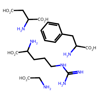 N=C(N)NCCCC(N)C(=O)O.NC(CC(=O)O)C(=O)O.NC(Cc1ccccc1)C(=O)O.NCC(=O)O